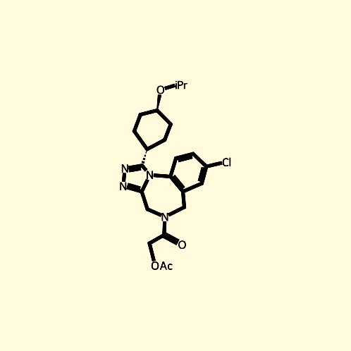 CC(=O)OCC(=O)N1Cc2cc(Cl)ccc2-n2c(nnc2[C@H]2CC[C@H](OC(C)C)CC2)C1